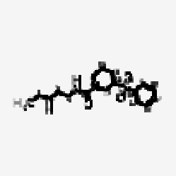 CCNCCNC(=O)N1CCCC(S(=O)(=O)c2ccccc2)C1